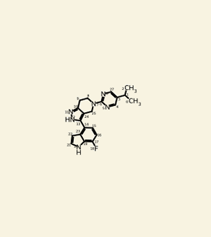 CC(C)c1cnc(N2CCc3n[nH]c(-c4ccc(F)c5[nH]ccc45)c3C2)nc1